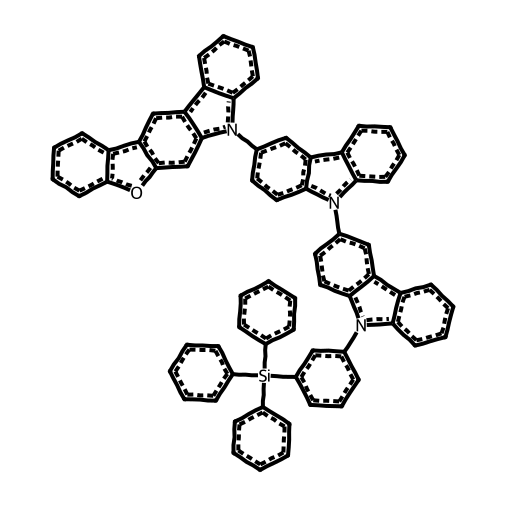 c1ccc([Si](c2ccccc2)(c2ccccc2)c2cccc(-n3c4ccccc4c4cc(-n5c6ccccc6c6cc(-n7c8ccccc8c8cc9c(cc87)oc7ccccc79)ccc65)ccc43)c2)cc1